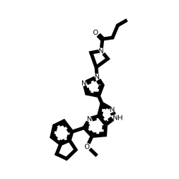 CCCC(=O)N1CC(n2cc(-c3n[nH]c4cc(OC)c(-c5cccc6c5CCC6)nc34)cn2)C1